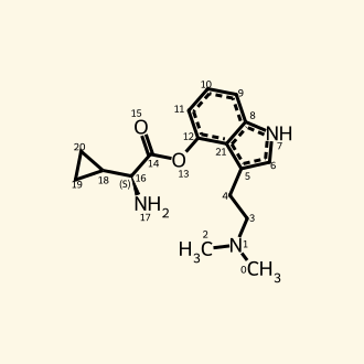 CN(C)CCc1c[nH]c2cccc(OC(=O)[C@@H](N)C3CC3)c12